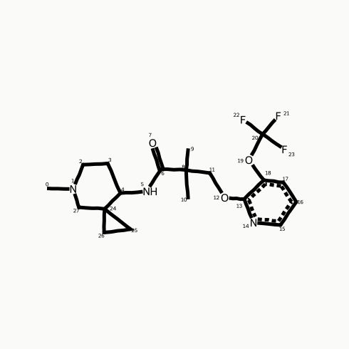 CN1CCC(NC(=O)C(C)(C)COc2ncccc2OC(F)(F)F)C2(CC2)C1